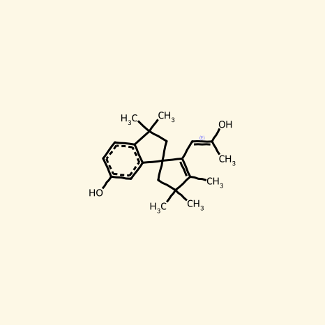 CC1=C(/C=C(\C)O)C2(CC1(C)C)CC(C)(C)c1ccc(O)cc12